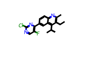 CCc1c(C)nc2ccc(-c3nc(Cl)ncc3F)cc2c1C(C)C